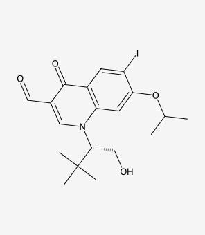 CC(C)Oc1cc2c(cc1I)c(=O)c(C=O)cn2[C@H](CO)C(C)(C)C